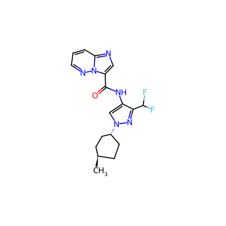 C[C@H]1CC[C@H](n2cc(NC(=O)c3cnc4cccnn34)c(C(F)F)n2)CC1